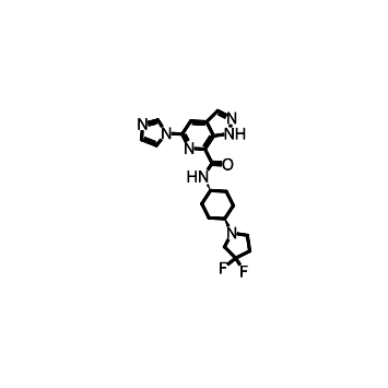 O=C(N[C@H]1CC[C@H](N2CCC(F)(F)C2)CC1)c1nc(-n2ccnc2)cc2cn[nH]c12